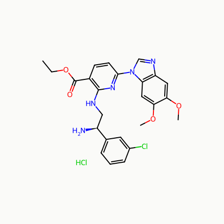 CCOC(=O)c1ccc(-n2cnc3cc(OC)c(OC)cc32)nc1NC[C@H](N)c1cccc(Cl)c1.Cl